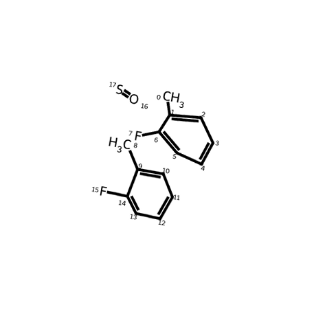 Cc1ccccc1F.Cc1ccccc1F.O=S